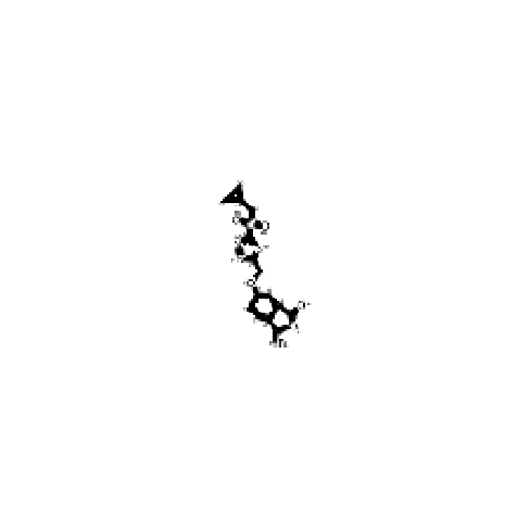 CCCCC1OC(=O)c2cc(OCc3nnc(S(=O)(=O)CC4CC4)s3)ccc21